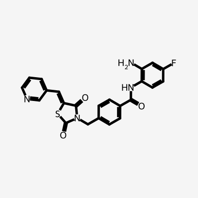 Nc1cc(F)ccc1NC(=O)c1ccc(CN2C(=O)S/C(=C\c3cccnc3)C2=O)cc1